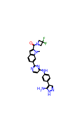 Cn1c(C(=O)N2CC(F)(F)C2)cc2ccc(-c3nccc(Nc4ccc(-c5cn[nH]c5N)cc4)n3)cc21